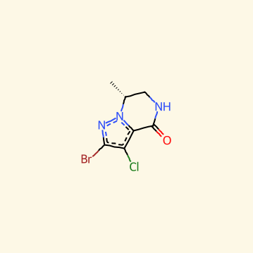 C[C@@H]1CNC(=O)c2c(Cl)c(Br)nn21